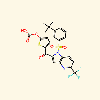 CC(C)(C)c1cccc(S(=O)(=O)n2c(C(=O)c3ccc(OC(=O)O)s3)cc3nc(C(F)(F)F)ccc32)c1